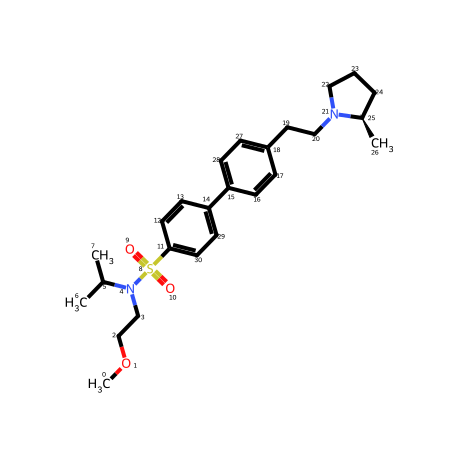 COCCN(C(C)C)S(=O)(=O)c1ccc(-c2ccc(CCN3CCC[C@H]3C)cc2)cc1